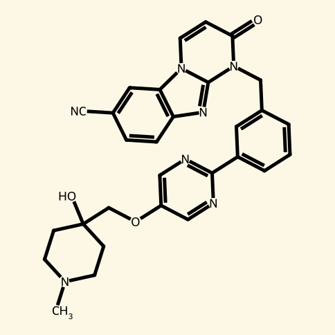 CN1CCC(O)(COc2cnc(-c3cccc(Cn4c(=O)ccn5c6cc(C#N)ccc6nc45)c3)nc2)CC1